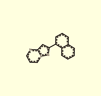 c1ccc2c(-c3cc4ncccn4n3)cccc2c1